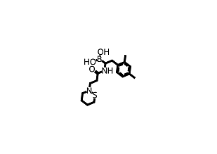 Cc1ccc(CC(NC(=O)CCN2CCCCS2)B(O)O)c(C)c1